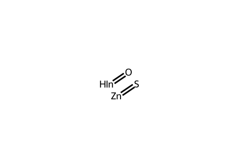 [O]=[InH].[S]=[Zn]